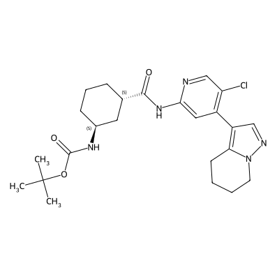 CC(C)(C)OC(=O)N[C@H]1CCC[C@H](C(=O)Nc2cc(-c3cnn4c3CCCC4)c(Cl)cn2)C1